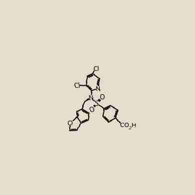 O=C(O)c1ccc(S(=O)(=O)N(Cc2ccc3ccoc3c2)c2ncc(Cl)cc2Cl)cc1